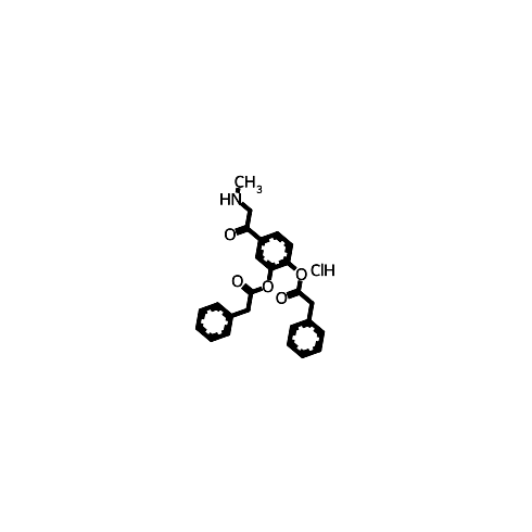 CNCC(=O)c1ccc(OC(=O)Cc2ccccc2)c(OC(=O)Cc2ccccc2)c1.Cl